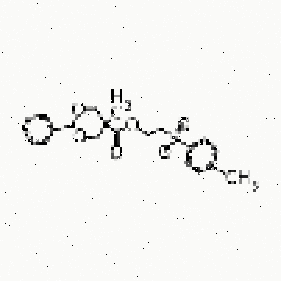 Cc1ccc(S(=O)(=O)CCOC(=O)C2(C)COC(c3ccccc3)OC2)cc1